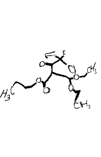 CCCOC(=O)C(C(=O)C(F)(F)Cl)C(OCC)OCC